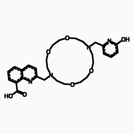 O=C(O)c1cccc2ccc(CN3CCOCCOCCN(Cc4cccc(O)n4)CCOCCOCC3)nc12